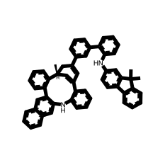 CC1(C)c2ccccc2-c2ccc(Nc3ccccc3-c3cccc(C4=CC5=C[C@@](C)(C4)c4ccccc4-c4cc6ccccc6cc4Nc4ccccc45)c3)cc21